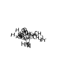 CC(C)CCC[C@@H](C)[C@H]1CC[C@H]2[C@H](COS(C)(=O)=O)[C@@H]([C@@]3(C)Cc4cn[nH]c4C[C@@H]3COS(C)(=O)=O)CC[C@]12C